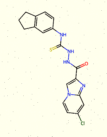 O=C(NNC(=S)Nc1ccc2c(c1)CCC2)c1cn2ccc(Cl)cc2n1